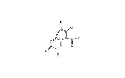 O=C1N=c2cc(F)c(Cl)c([N+](=O)[O-])c2=NC1=O